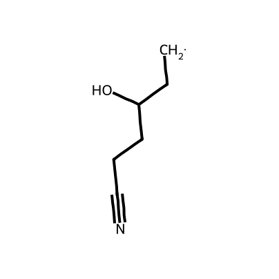 [CH2]CC(O)CCC#N